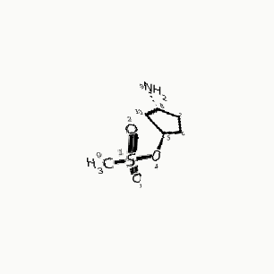 CS(=O)(=O)O[C@@H]1CC[C@@H](N)C1